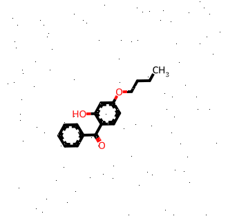 CCCCOc1ccc(C(=O)c2ccccc2)c(O)c1